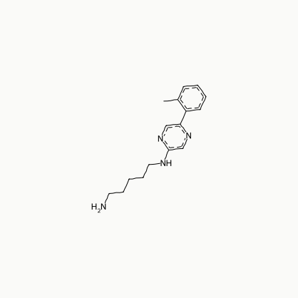 Cc1ccccc1-c1cnc(NCCCCCN)cn1